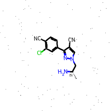 C[C@H](N)Cn1cc(C#N)c(-c2ccc(C#N)c(Cl)c2)n1